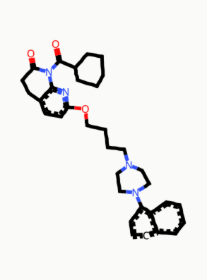 O=C1CCc2ccc(OCCCCN3CCN(c4cccc5ccccc45)CC3)nc2N1C(=O)C1CCCCC1